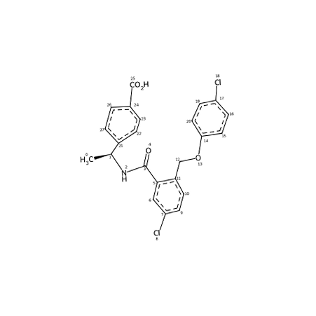 C[C@H](NC(=O)c1cc(Cl)ccc1COc1ccc(Cl)cc1)c1ccc(C(=O)O)cc1